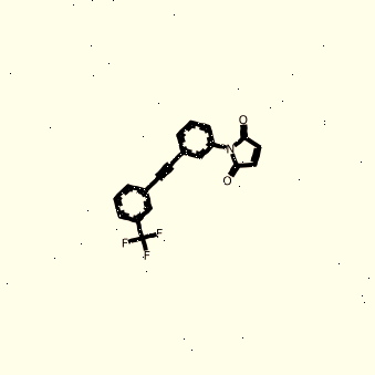 O=C1C=CC(=O)N1c1cccc(C#Cc2cccc(C(F)(F)F)c2)c1